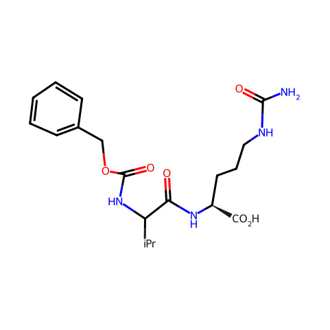 CC(C)C(NC(=O)OCc1ccccc1)C(=O)N[C@@H](CCCNC(N)=O)C(=O)O